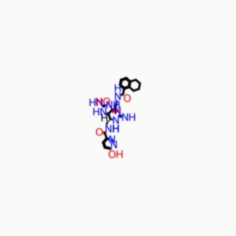 N=C1N[C@H]2[C@H](CNC(=O)c3ccc(O)nn3)NC(=N)N3CC(NC(=O)c4cccc5c4CCCC5)[C@@H](O)[C@]23N1